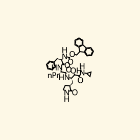 CCC[C@H](NC(=O)[C@@H](Cc1ccccc1)NC(=O)OCC1c2ccccc2-c2ccccc21)C(=O)N[C@@H](C[C@@H]1CCNC1=O)C(O)C(=O)NC1CC1